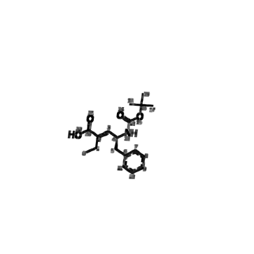 CCC(=C[C@H](Cc1ccccc1)NC(=O)OC(C)(C)C)C(=O)O